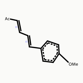 COc1ccc(/C=C/C=C/C(C)=O)cc1